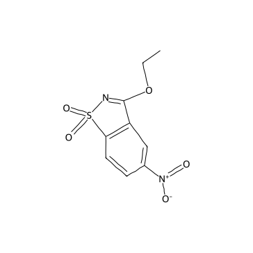 CCOC1=NS(=O)(=O)c2ccc([N+](=O)[O-])cc21